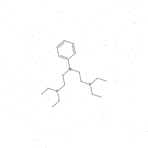 CCP(CC)CCN(CCP(CC)CC)c1ccccc1